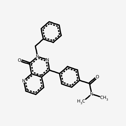 CN(C)C(=O)c1ccc(-c2nn(Cc3ccccc3)c(=O)c3ncccc23)cc1